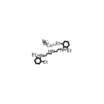 CCc1cccc(CC)c1NCCCNCCNc1c(CC)cccc1CC.[Br-].[Br-].[Co+2]